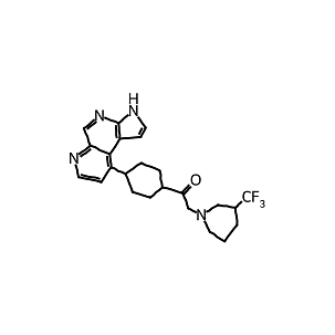 O=C(CN1CCCC(C(F)(F)F)C1)C1CCC(c2ccnc3cnc4[nH]ccc4c23)CC1